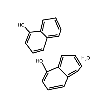 O.Oc1cccc2ccccc12.Oc1cccc2ccccc12